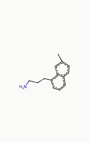 Cc1ccc2cccc(CCCN)c2c1